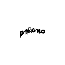 Cc1c(CN2CCC(NC(=O)c3ccc(-c4cccc(F)c4)nc3)CC2)cnn1-c1ccccc1